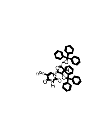 CCCc1cn([C@@H]2O[C@H](COC(c3ccccc3)(c3ccccc3)c3ccccc3)[C@@H](I)[C@H]2OC(c2ccccc2)(c2ccccc2)c2ccccc2)c(=O)[nH]c1=O